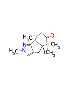 Cn1cc2c(n1)[C@@]1(C)CCC(=O)C(C)(C)[C@@H]1C2